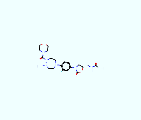 CC(=O)NC[C@H]1CN(c2ccc(N3CCN(C)N(C(=O)N4CCOCC4)CC3)c(F)c2)C(=O)O1